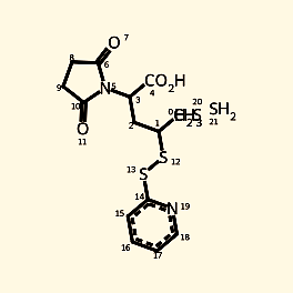 CC(CC(C(=O)O)N1C(=O)CCC1=O)SSc1ccccn1.S.S